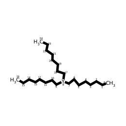 CCCCCCC[CH2][Y]([CH2]CCCCCCC)[CH2]CCCCCCC